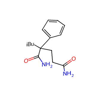 CCC(C)C(CCC(N)=O)(C(N)=O)c1ccccc1